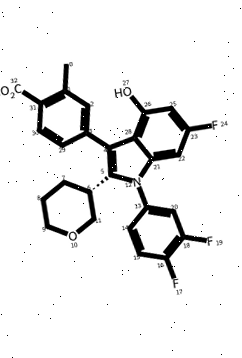 Cc1cc(-c2c([C@H]3CCCOC3)n(-c3ccc(F)c(F)c3)c3cc(F)cc(O)c23)ccc1C(=O)O